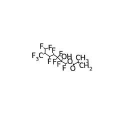 C=C(C)C(=O)OC(F)C(O)(F)C(F)(F)C(F)C(F)C(C(F)F)C(F)(F)F